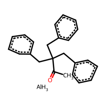 CC(=O)C(Cc1ccccc1)(Cc1ccccc1)Cc1ccccc1.[AlH3]